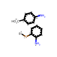 CCSc1ccccc1N.Nc1ccc(C(=O)O)cc1